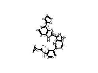 O=C(Nc1cncc(-c2ccc3[nH]nc(-c4nc5c(-c6cccs6)nccc5[nH]4)c3n2)c1)C1CC1